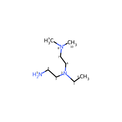 CCN(CCN)CCN(C)C